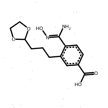 NC(=NO)c1ccc(C(=O)O)cc1CCCC1OCCO1